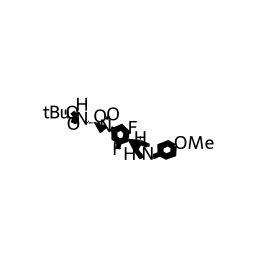 COc1ccc(CN2C[C@@H]3[C@H](C2)[C@H]3c2c(F)cc(N3C[C@H](CNC(=O)OC(C)(C)C)OC3=O)cc2F)cc1